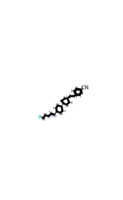 N#Cc1ccc(CCC2CCC([C@H]3CC[C@H](/C=C/CCCF)CC3)CC2)cc1